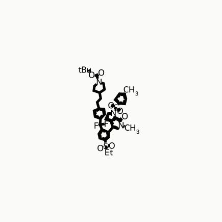 CCS(=O)(=O)c1ccc(C(F)(F)c2ccc(CCC3CCN(C(=O)OC(C)(C)C)CC3)cc2)c(-c2cn(C)c(=O)c3c2ccn3S(=O)(=O)c2ccc(C)cc2)c1